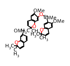 CCOc1cc2c(cc1OC)C=CC(C)(C)O2.COc1cc2c(cc1OC)OC(C)(C)C=C2.COc1ccc2c(c1)OC(C)(C)C=C2